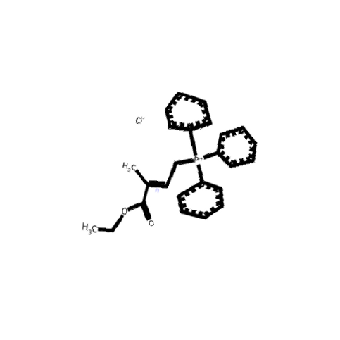 CCOC(=O)/C(C)=C/C[P+](c1ccccc1)(c1ccccc1)c1ccccc1.[Cl-]